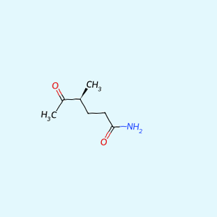 CC(=O)[C@@H](C)CCC(N)=O